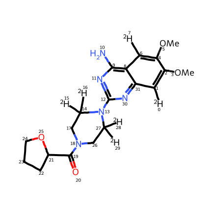 [2H]c1c(OC)c(OC)c([2H])c2c(N)nc(N3C([2H])([2H])CN(C(=O)C4CCCO4)CC3([2H])[2H])nc12